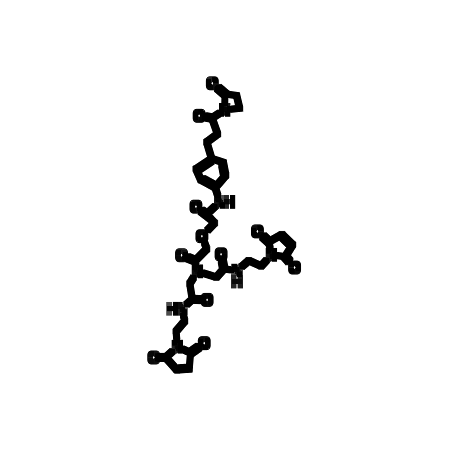 O=C(CN(CC(=O)NCCN1C(=O)C=CC1=O)C(=O)COCC(=O)Nc1ccc(CCC(=O)N2CCC2=O)cc1)NCCN1C(=O)C=CC1=O